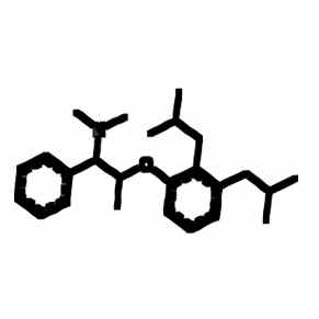 CC(C)Cc1cccc(OC(C)C(c2ccccc2)N(C)C)c1CC(C)C